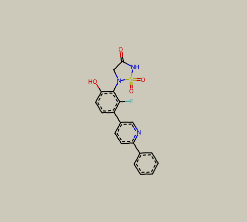 O=C1CN(c2c(O)ccc(-c3ccc(-c4ccccc4)nc3)c2F)S(=O)(=O)N1